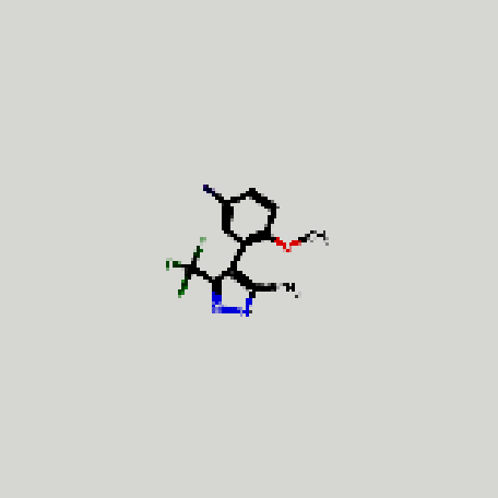 COc1ccc(I)cc1C1=C(C)[N]N=C1C(F)(F)F